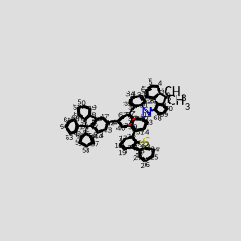 CC1(C)c2ccccc2-c2c(N(c3ccc(-c4cccc5c4sc4ccccc45)cc3)c3ccccc3-c3cccc(-c4ccc5c(c4)-c4ccccc4C5(c4ccccc4)c4ccccc4)c3)cccc21